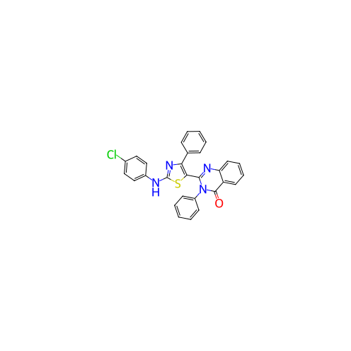 O=c1c2ccccc2nc(-c2sc(Nc3ccc(Cl)cc3)nc2-c2ccccc2)n1-c1ccccc1